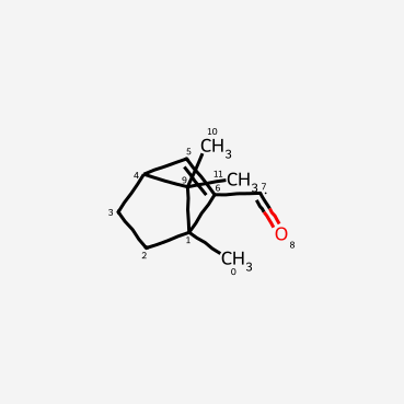 CC12CCC(C=C1[C]=O)C2(C)C